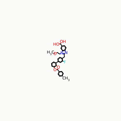 COCCn1c(Cc2ccc(-c3cccc4c3OC(c3ccc(C)cc3)O4)cc2F)nc2ccc(C(O)O)cc21